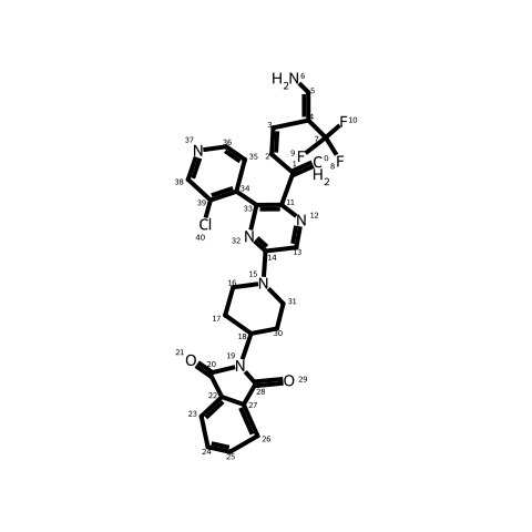 C=C(/C=C\C(=C/N)C(F)(F)F)c1ncc(N2CCC(N3C(=O)c4ccccc4C3=O)CC2)nc1-c1ccncc1Cl